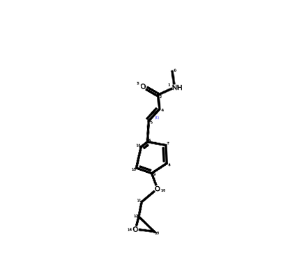 CNC(=O)/C=C/c1ccc(OCC2CO2)cc1